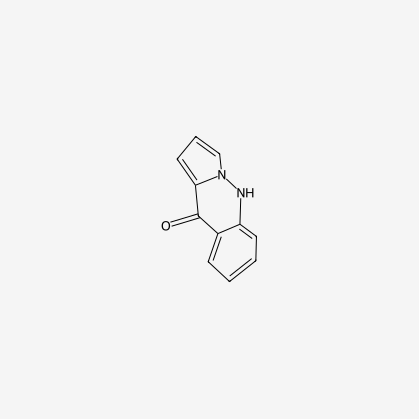 O=c1c2ccccc2[nH]n2cccc12